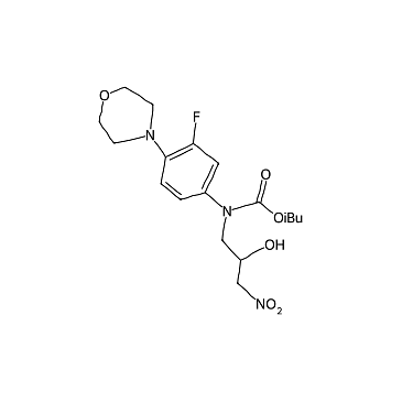 CC(C)COC(=O)N(CC(O)C[N+](=O)[O-])c1ccc(N2CCOCC2)c(F)c1